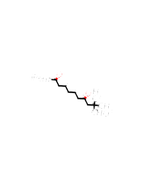 CCCC(C)C(=O)CCCCCC(=O)CC(C)(C)[C]=O